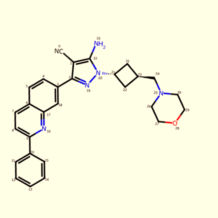 N#Cc1c(-c2ccc3ccc(-c4ccccc4)nc3c2)nn([C@H]2C[C@H](CN3CCOCC3)C2)c1N